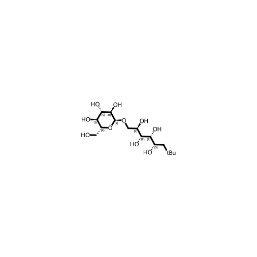 CC(C)(C)C[C@H](O)[C@@H](O)[C@H](O)[C@H](O)CO[C@H]1O[C@H](CO)[C@@H](O)[C@H](O)[C@H]1O